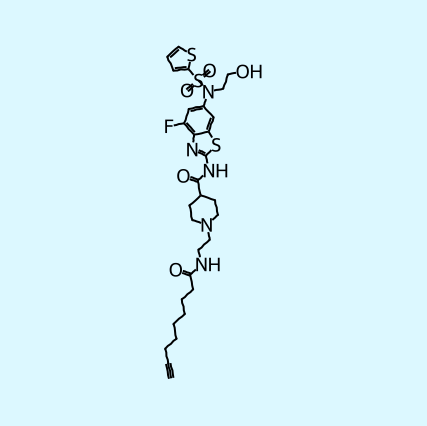 C#CCCCCCCC(=O)NCCN1CCC(C(=O)Nc2nc3c(F)cc(N(CCO)S(=O)(=O)c4cccs4)cc3s2)CC1